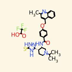 Cc1cc(COc2ccc(C(=O)N[C@@H]3CN(C(C)C)CC[C@@H]3c3n[nH]c(=S)[nH]3)cc2)c2ccccc2n1.O=C(O)C(F)(F)F